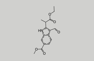 CCOC(=O)C(C)c1[nH]c2cc(C(=O)OC)ccc2c1C=O